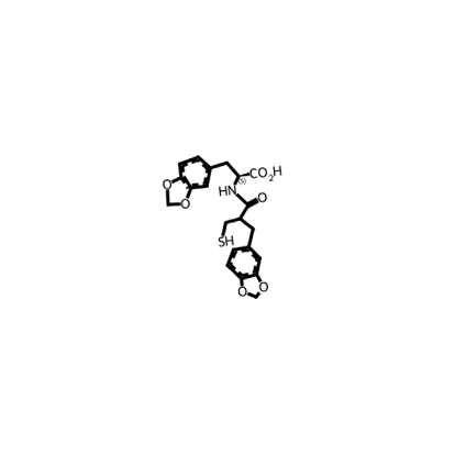 O=C(N[C@@H](Cc1ccc2c(c1)OCO2)C(=O)O)C(CS)Cc1ccc2c(c1)OCO2